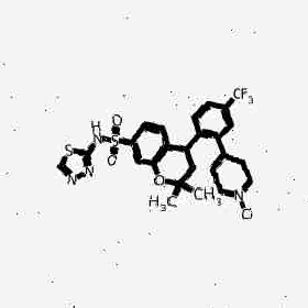 CC1(C)CC(c2ccc(C(F)(F)F)cc2C2CCN(Cl)CC2)c2ccc(S(=O)(=O)Nc3nncs3)cc2O1